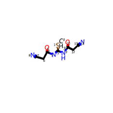 CS/C(=N\C(=O)CC#N)NC(=O)CC#N